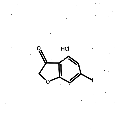 Cl.O=C1COc2cc(I)ccc21